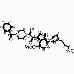 [C-]#[N+]CCCc1ccn(-c2ncc(OC)c3c(C(=O)C(=O)N4CCN(C(=O)c5ccccc5)CC4)c[nH]c23)n1